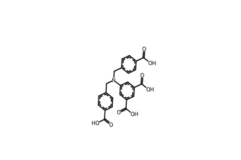 O=C(O)c1ccc(CN(Cc2ccc(C(=O)O)cc2)c2cc(C(=O)O)cc(C(=O)O)c2)cc1